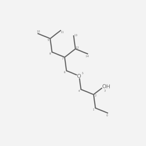 CCC(O)COCC(CC(C)C)C(C)C